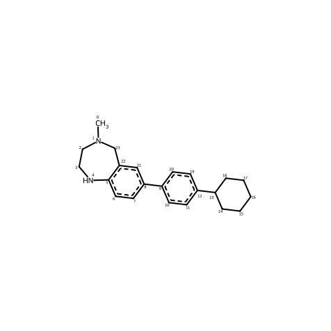 CN1CCNc2ccc(-c3ccc(C4CCCCC4)cc3)cc2C1